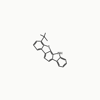 CC(C)(C)c1cccc2c1sc1c2ccc2c3ccccc3[nH]c21